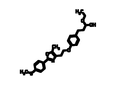 CCOC(O)CCc1ccc(OCCc2nc(-c3ccc(SC)cc3)oc2C)cc1